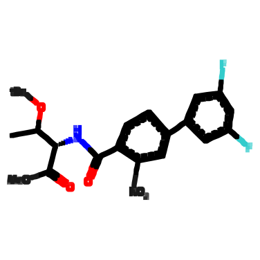 COC(=O)[C@@H](NC(=O)c1ccc(-c2cc(F)cc(F)c2)cc1[N+](=O)[O-])C(C)OC(C)(C)C